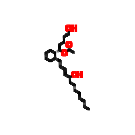 CCCCCCCCC(O)/C=C/C=C/[C@H]1CC=CC[C@@H]1C(CCCCO)OC(C)=O